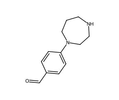 O=Cc1ccc(N2CCCNCC2)cc1